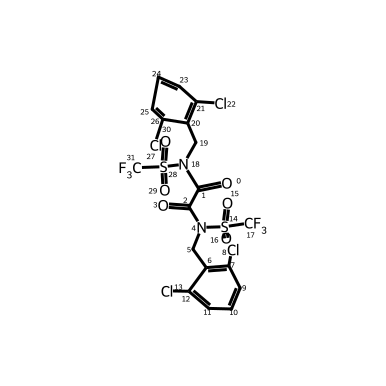 O=C(C(=O)N(Cc1c(Cl)cccc1Cl)S(=O)(=O)C(F)(F)F)N(Cc1c(Cl)cccc1Cl)S(=O)(=O)C(F)(F)F